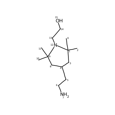 CC1(C)CC(CCN)CC(C)(C)N1CCO